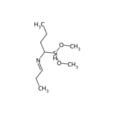 CCC=NC(CCC)[SiH](OC)OC